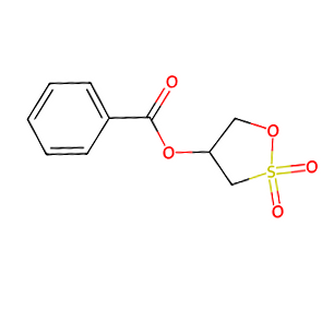 O=C(OC1COS(=O)(=O)C1)c1ccccc1